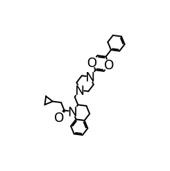 O=C(CC1CC1)N1c2ccccc2CCC1CN1CCN(C2=COC(C3=CC=CCC3)=CO2)CC1